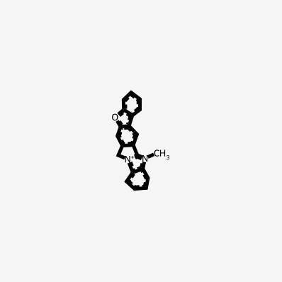 Cn1c2[n+](c3ccccc31)Cc1cc3oc4ccccc4c3cc1-2